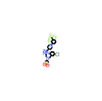 O=S1(=O)CC(N2Cc3cc(Cl)ccc3-n3c(nnc3C3CCN(c4ccc(F)c(C(F)(F)F)c4F)CC3)C2)C1